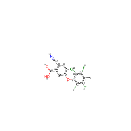 Cc1c(F)c(F)c(Oc2ccc(C#N)c(C(=O)O)c2)c(Cl)c1F